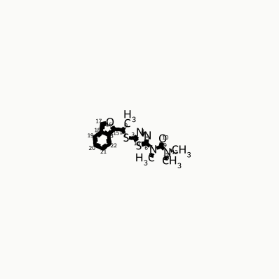 CC(Sc1nnc(N(C)C(=O)N(C)C)s1)c1occ2ccccc12